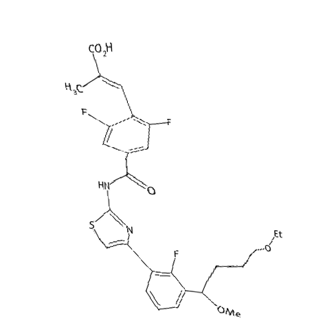 CCOCCCC(OC)c1cccc(-c2csc(NC(=O)c3cc(F)c(/C=C(\C)C(=O)O)c(F)c3)n2)c1F